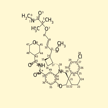 C=NC(=O)C(C)(C)OC/C=C/[C@H](OC)[C@@H]1CC[C@H]1CN1C[C@@]2(CCCc3cc(Cl)ccc32)COc2ccc([S+]([O-])NC(=O)C3CCOCC3)cc21